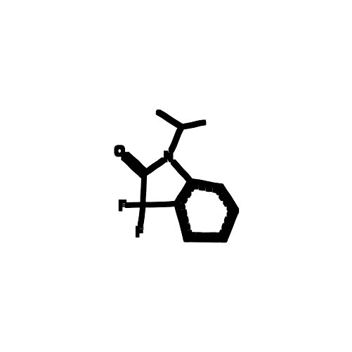 CC(C)N1C(=O)C(F)(F)c2ccccc21